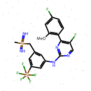 COc1cc(F)ccc1-c1nc(Nc2cc(CS(C)(=N)=N)cc(S(F)(F)(F)(F)F)c2)ncc1F